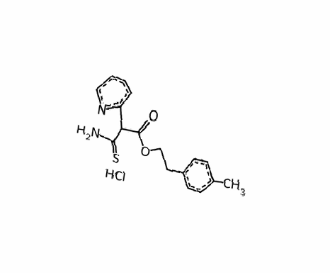 Cc1ccc(CCOC(=O)C(C(N)=S)c2ccccn2)cc1.Cl